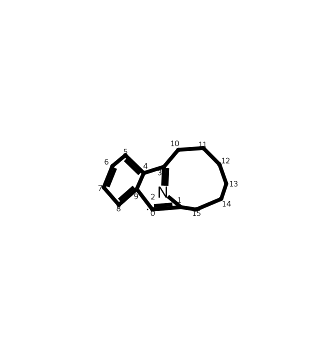 [c]1c2nc(c3ccccc13)CCCCCC2